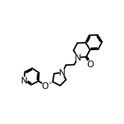 O=C1c2ccccc2CCN1CCN1CC[C@H](Oc2cccnc2)C1